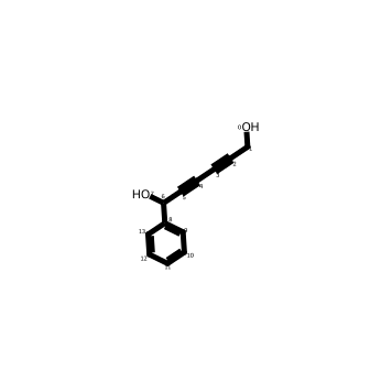 OCC#CC#CC(O)c1ccccc1